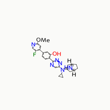 COc1cc(-c2ccc(-c3ncc(N(C4CC4)[C@@H]4C[C@H]5CC[C@@H](C4)N5)nn3)c(O)c2)c(F)cn1